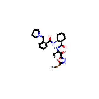 CC(C)CC(NC(=O)[C@@H]1CCCC[C@@H]1NC(=O)c1ccccc1CN1CCCC1)C(=O)c1nnc(SC(C)C)o1